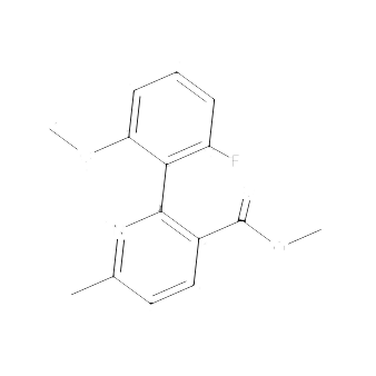 COC(=O)c1ccc(C)nc1-c1c(F)cccc1OC